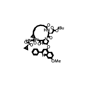 COc1ccc2c(O[C@@H]3C[C@H]4C(=O)N[C@]5(C(=O)NS(=O)(=O)C6CC6)CC5/C=C\CCCC(=O)N[C@@H](CC(=O)OC(C)(C)C)C(=O)N4C3)cc(-c3ccccc3)nc2c1